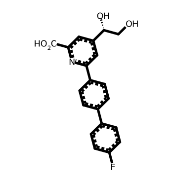 O=C(O)c1cc([C@H](O)CO)cc(-c2ccc(-c3ccc(F)cc3)cc2)n1